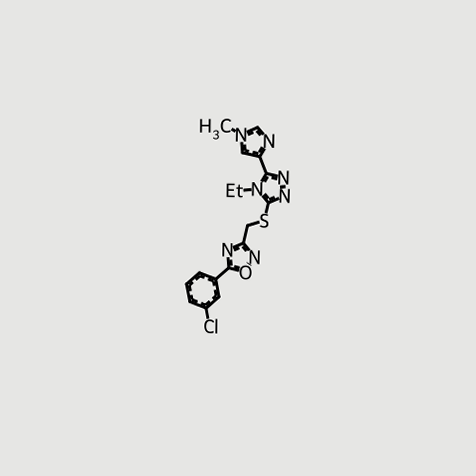 CCn1c(SCc2noc(-c3cccc(Cl)c3)n2)nnc1-c1cn(C)cn1